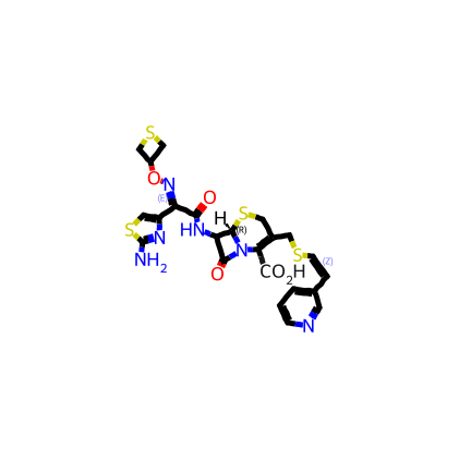 Nc1nc(/C(=N\OC2CSC2)C(=O)NC2C(=O)N3C(C(=O)O)=C(CS/C=C\c4cccnc4)CS[C@H]23)cs1